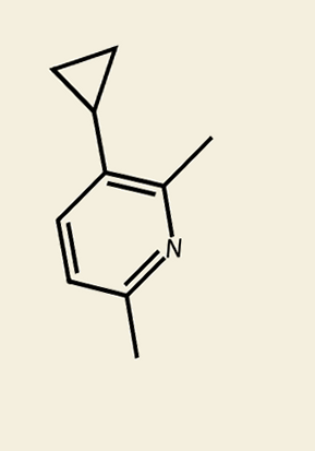 Cc1ccc(C2CC2)c(C)n1